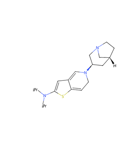 CC(C)N(c1cc2c(s1)=CCN([C@@H]1C[C@H]3CCN(C3)C1)C=2)C(C)C